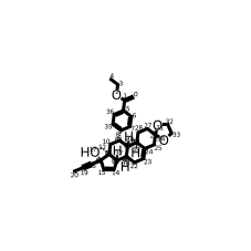 C=C(OCC)c1ccc([C@H]2C[C@@]3(C)[C@@H](C=C[C@@]3(O)C#CC)[C@@H]3CC=C4CC5(CC[C@@H]4[C@H]32)OCCO5)cc1